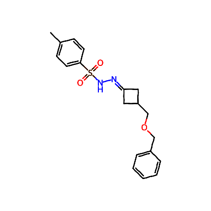 Cc1ccc(S(=O)(=O)NN=C2CC(COCc3ccccc3)C2)cc1